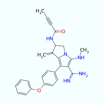 C=C1c2c(-c3ccc(Oc4ccccc4)cc3)c(C(=N)N)c(NC)n2CC1NC(=O)C#CC